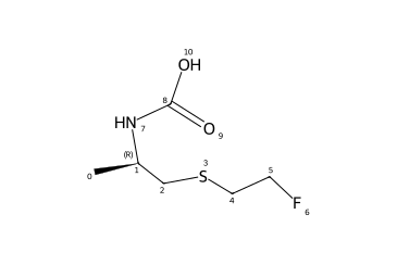 C[C@H](CSCCF)NC(=O)O